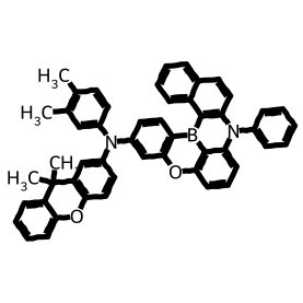 Cc1ccc(N(c2ccc3c(c2)Oc2cccc4c2B3c2c(ccc3ccccc23)N4c2ccccc2)c2ccc3c(c2)C(C)(C)c2ccccc2O3)cc1C